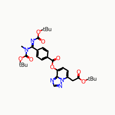 CN(C(=O)OC(C)(C)C)/C(=N/C(=O)OC(C)(C)C)c1ccc(C(=O)Oc2ccc(CC(=O)OC(C)(C)C)n3ncnc23)cc1